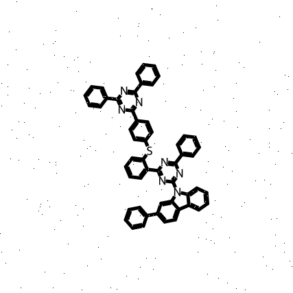 c1ccc(-c2ccc3c4ccccc4n(-c4nc(-c5ccccc5)nc(-c5ccccc5Sc5ccc(-c6nc(-c7ccccc7)nc(-c7ccccc7)n6)cc5)n4)c3c2)cc1